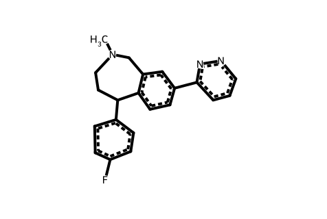 CN1CCC(c2ccc(F)cc2)c2ccc(-c3cccnn3)cc2C1